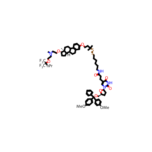 CCCC(OCCN(C)CCO[C@H]1CC[C@H]2C3CCc4cc(OCCC(C)(C)SSCCCCCCNC(=O)CCc5cn([C@H]6CC[C@@H](COC(c7ccccc7)(c7ccc(OC)cc7)c7ccc(OC)cc7)O6)c(=O)[nH]c5=O)ccc4C3CC[C@]12C)(C(F)(F)F)C(F)(F)F